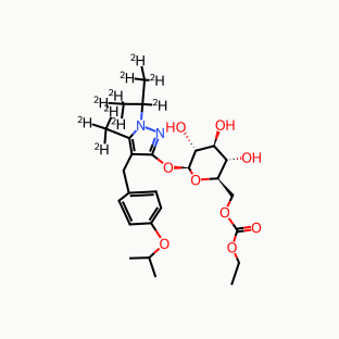 [2H]C([2H])([2H])c1c(Cc2ccc(OC(C)C)cc2)c(O[C@@H]2O[C@H](COC(=O)OCC)[C@@H](O)[C@H](O)[C@H]2O)nn1C([2H])(C([2H])([2H])[2H])C([2H])([2H])[2H]